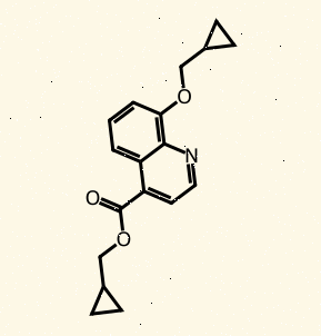 O=C(OCC1CC1)c1ccnc2c(OCC3CC3)cccc12